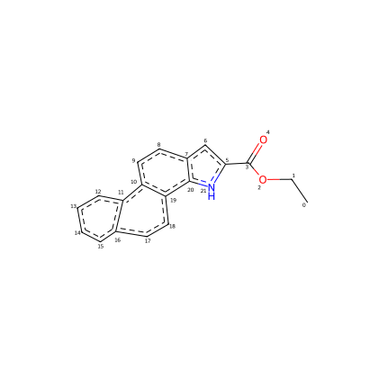 CCOC(=O)c1cc2ccc3c4ccccc4ccc3c2[nH]1